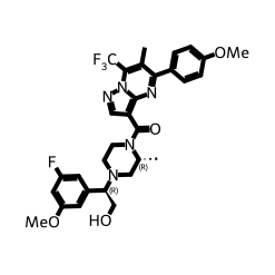 COc1ccc(-c2nc3c(C(=O)N4CCN([C@@H](CO)c5cc(F)cc(OC)c5)C[C@H]4C)cnn3c(C(F)(F)F)c2C)cc1